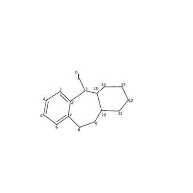 IC1c2ccccc2CCC2CCCCC21